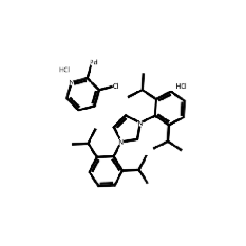 CC(C)c1cccc(C(C)C)c1N1C=CN(c2c(C(C)C)cccc2C(C)C)C1.Cl.Cl.Clc1cccn[c]1[Pd]